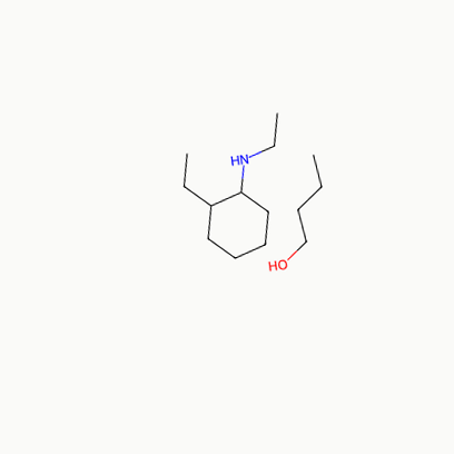 CCCCO.CCNC1CCCCC1CC